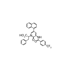 O=C(Nc1cc(-c2cccc3ccccc23)cn(C(Cc2ccccc2)C(=O)O)c1=O)c1ccc(C(F)(F)F)cc1